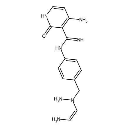 N=C(Nc1ccc(CN(N)/C=C\N)cc1)c1c(N)cc[nH]c1=O